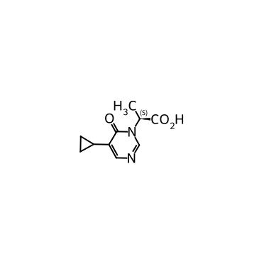 C[C@@H](C(=O)O)n1cncc(C2CC2)c1=O